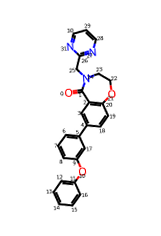 O=C1c2cc(-c3cccc(Oc4ccccc4)c3)ccc2OCCN1Cc1ncccn1